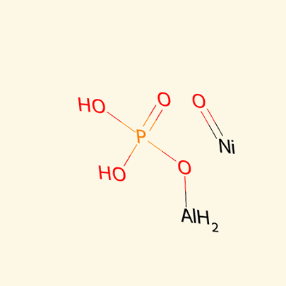 O=P(O)(O)[O][AlH2].[O]=[Ni]